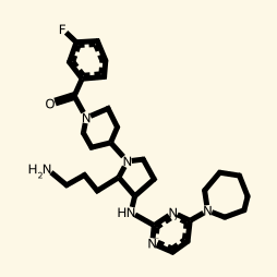 NCCCC1C(Nc2nccc(N3CCCCCC3)n2)CCN1C1CCN(C(=O)c2cccc(F)c2)CC1